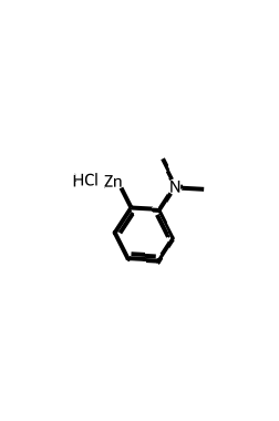 CN(C)c1cccc[c]1[Zn].Cl